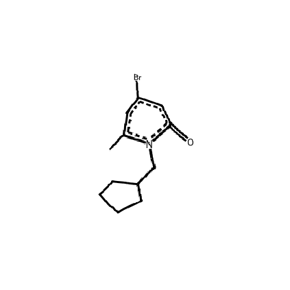 Cc1cc(Br)cc(=O)n1CC1CCCC1